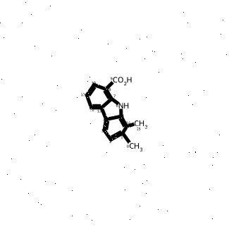 Cc1ccc2c([nH]c3c(C(=O)O)cccc32)c1C